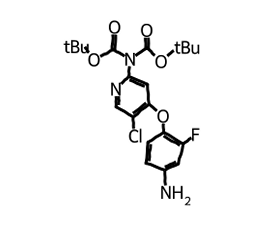 CC(C)(C)OC(=O)N(C(=O)OC(C)(C)C)c1cc(Oc2ccc(N)cc2F)c(Cl)cn1